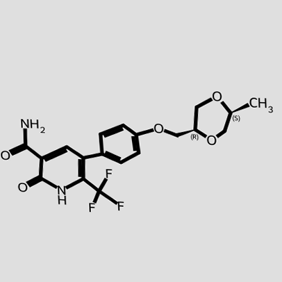 C[C@H]1CO[C@@H](COc2ccc(-c3cc(C(N)=O)c(=O)[nH]c3C(F)(F)F)cc2)CO1